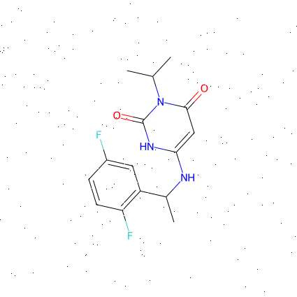 CC(Nc1cc(=O)n(C(C)C)c(=O)[nH]1)c1cc(F)ccc1F